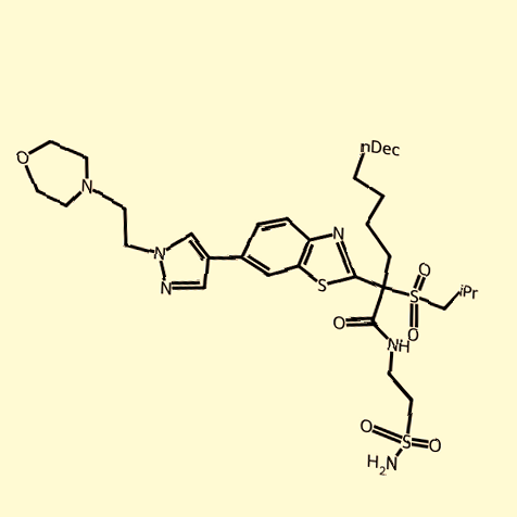 CCCCCCCCCCCCCCC(C(=O)NCCS(N)(=O)=O)(c1nc2ccc(-c3cnn(CCN4CCOCC4)c3)cc2s1)S(=O)(=O)CC(C)C